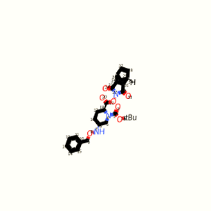 CC(C)(C)OC(=O)N1C[C@H](NOCc2ccccc2)CC[C@H]1C(=O)ON1C(=O)C2C3C=C[C@H](C3)C2C1=O